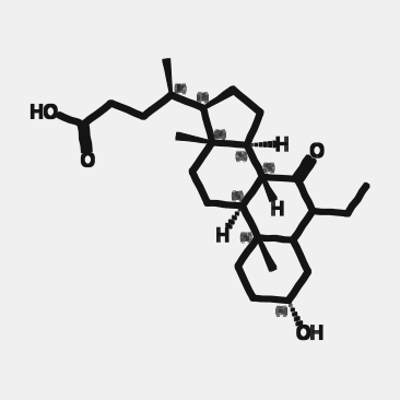 CCC1C(=O)[C@H]2[C@@H]3CC[C@H]([C@H](C)CCC(=O)O)[C@@]3(C)CC[C@@H]2[C@@]2(C)CC[C@@H](O)CC12